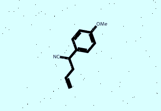 C=CCC(C#N)c1ccc(OC)cc1